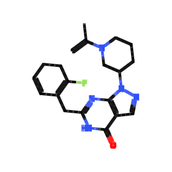 C=C(C)N1CCCC(n2ncc3c(=O)[nH]c(CC4=C(F)CCC=C4)nc32)C1